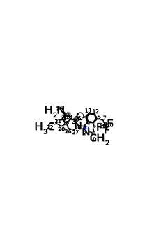 C=C/N=C(\c1cc(CC(F)(F)F)ccc1C)N1CCC(CCC)(CCN)CC1